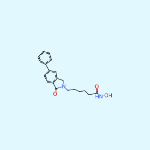 O=C(CCCCCN1Cc2cc(-c3ccccc3)ccc2C1=O)NO